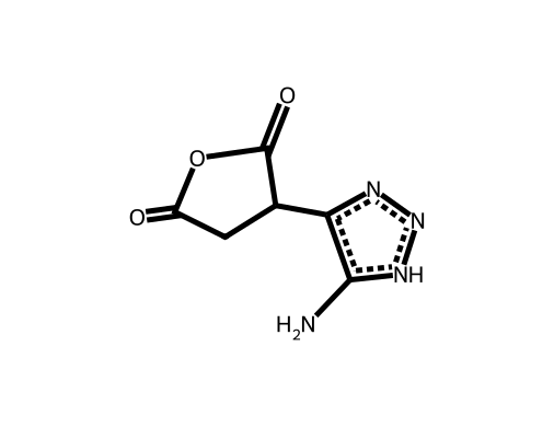 Nc1[nH]nnc1C1CC(=O)OC1=O